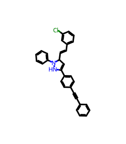 Clc1cccc(C=CC2C=C(c3ccc(C#Cc4ccccc4)cc3)NN2c2ccccc2)c1